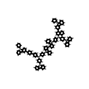 c1ccc(-n2c3ccccc3c3cc(-c4ccc(-c5ccc(N(c6ccc(-n7c8ccccc8c8ccccc87)cc6)c6ccc(-n7c8ccccc8c8c(-c9cccc%10c9c9ccccc9n%10-c9ccc(N(c%10ccc(-n%11c%12ccccc%12c%12ccccc%12%11)cc%10)c%10ccc(-c%11ccc%12c(c%11)c%11ccccc%11n%12-c%11ccccc%11)c%11ccccc%10%11)cc9)cccc87)cc6)cc5)cc4)ccc32)cc1